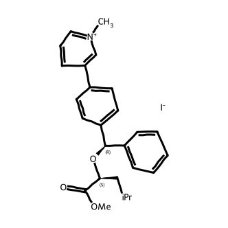 COC(=O)[C@H](CC(C)C)O[C@H](c1ccccc1)c1ccc(-c2ccc[n+](C)c2)cc1.[I-]